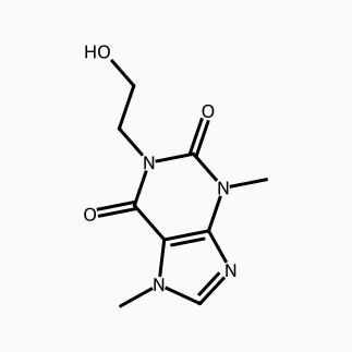 Cn1cnc2c1c(=O)n(CCO)c(=O)n2C